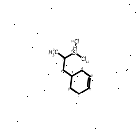 CC(CC1CC=CCC1)[SiH](Cl)Cl